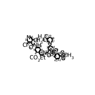 CCOC(=O)[C@H](Cc1ccc(NC(=O)c2c(Cl)cncc2Cl)cc1)NC(=O)C1C[C@@H](N2CCCC(C)(C)C2)CN1S(=O)(=O)c1cccc(S(C)(=O)=O)c1